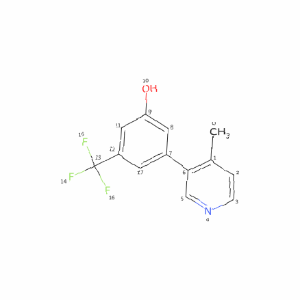 Cc1ccncc1-c1cc(O)cc(C(F)(F)F)c1